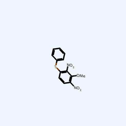 COc1c([N+](=O)[O-])ccc(Sc2ccccc2)c1[N+](=O)[O-]